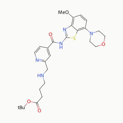 COc1ccc(N2CCOCC2)c2sc(NC(=O)c3ccnc(CNCCCC(=O)OC(C)(C)C)c3)nc12